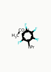 CC(=O)O.CCCc1c(F)cc(F)c(F)c1F